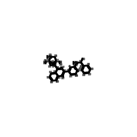 C[C@H](Nc1cc(-c2nc(N3C[C@@H]4C[C@H]3CN4)c3ccccc3n2)ccn1)c1ccccc1